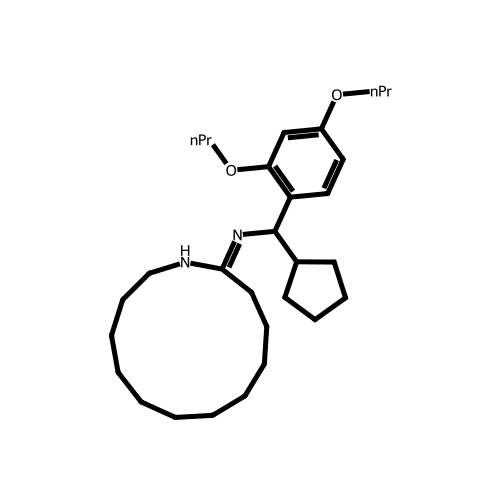 CCCOc1ccc(C(N=C2CCCCCCCCCCCN2)C2CCCC2)c(OCCC)c1